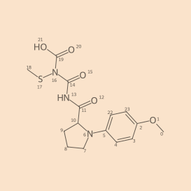 COc1ccc(N2CCCC2C(=O)NC(=O)N(SC)C(=O)O)cc1